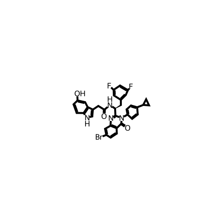 O=C(Cc1c[nH]c2ccc(O)cc12)N[C@@H](Cc1cc(F)cc(F)c1)c1nc2cc(Br)ccc2c(=O)n1-c1ccc(C2CC2)cc1